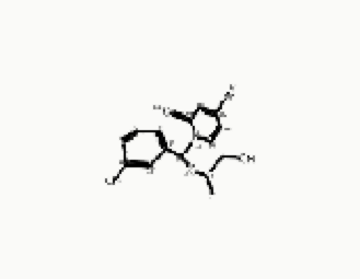 CN(CC#N)CC(c1cccc(Cl)c1)n1ccc(Br)cc1=O